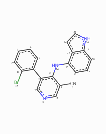 N#Cc1cncc(-c2ccccc2Br)c1Nc1cccc2[nH]ccc12